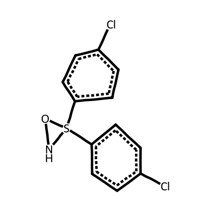 Clc1ccc(S2(c3ccc(Cl)cc3)NO2)cc1